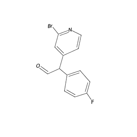 O=CC(c1ccc(F)cc1)c1ccnc(Br)c1